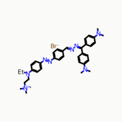 CCN(CC[N+](C)(C)C)c1ccc(/N=N/c2ccc(/C=N/N=C(c3ccc(N(C)C)cc3)c3ccc(N(C)C)cc3)cc2)cc1.[Br-]